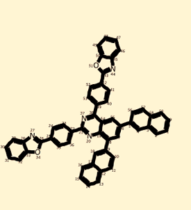 c1ccc2cc(-c3cc(-c4ccc5ccccc5c4)c4nc(-c5ccc(-c6nc7ccccc7o6)cc5)nc(-c5ccc(-c6nc7ccccc7o6)cc5)c4c3)ccc2c1